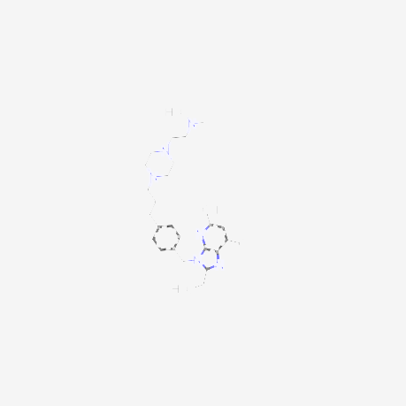 CCc1nc2c(C)cc(C)nc2n1Cc1ccc(CCCN2CCN(CCN(C)C)CC2)cc1